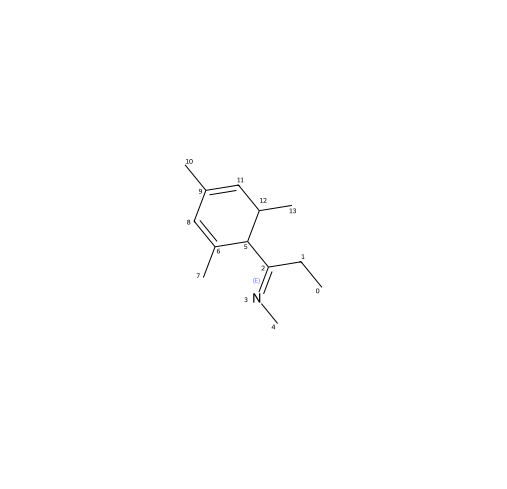 CC/C(=N\C)C1C(C)=CC(C)=CC1C